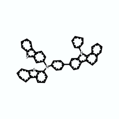 c1ccc(-n2c3cc(-c4ccc(N(c5ccc6c(c5)sc5ccccc56)c5cccc6c5sc5ccccc56)cc4)ccc3c3ccc4ccccc4c32)cc1